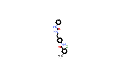 O=C(NCCc1ccc(NC(=O)c2cc([N+](=O)[O-])ccc2Cl)cc1)Nc1ccccc1